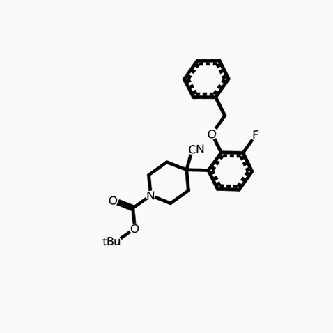 CC(C)(C)OC(=O)N1CCC(C#N)(c2cccc(F)c2OCc2ccccc2)CC1